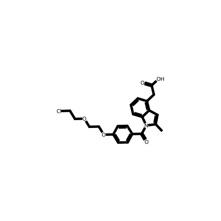 Cc1cc2c(CC(=O)O)cccc2n1C(=O)c1ccc(OCCOCCCl)cc1